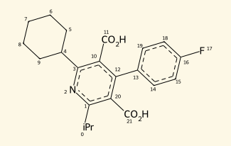 CC(C)c1nc(C2CCCCC2)c(C(=O)O)c(-c2ccc(F)cc2)c1C(=O)O